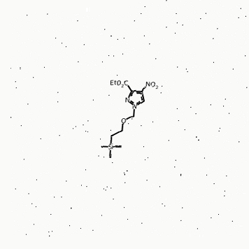 CCOC(=O)c1nn(COCC[Si](C)(C)C)cc1[N+](=O)[O-]